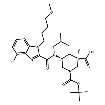 COCCCCn1c(C(=O)N(CC(C)C)[C@@H]2CN(C(=O)OC(C)(C)C)C[C@](C)(C(=O)O)C2)nc2c(Cl)cccc21